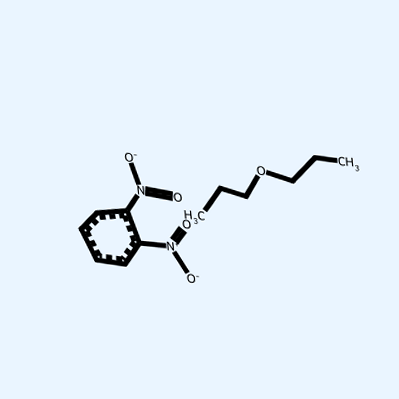 CCCOCCC.O=[N+]([O-])c1ccccc1[N+](=O)[O-]